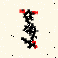 C=C1C(=O)OC(C[C@@H](C)[C@H]2CC[C@H]3/C(=C/C=C4/C[C@@H](O)C[C@H](O)C4=C)CCC[C@]23C)C1CCC